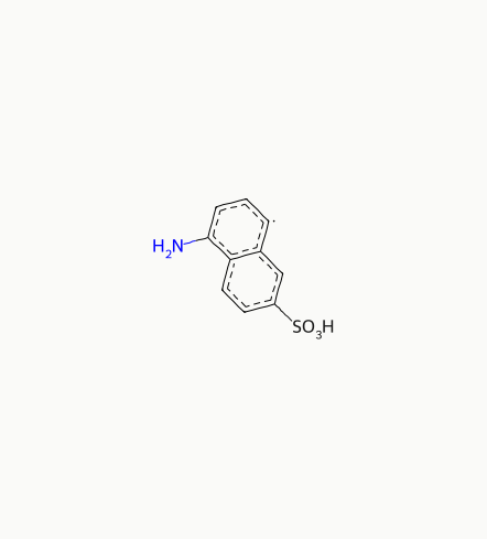 Nc1cc[c]c2cc(S(=O)(=O)O)ccc12